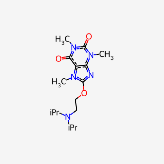 CC(C)N(CCOc1nc2c(c(=O)n(C)c(=O)n2C)n1C)C(C)C